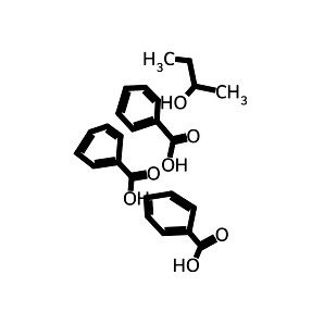 CCC(C)O.O=C(O)c1ccccc1.O=C(O)c1ccccc1.O=C(O)c1ccccc1